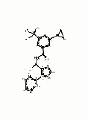 CC(NC(=O)c1cc(C2CC2)cc(C(F)(F)F)c1)c1ncnn1-c1ncccn1